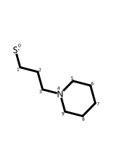 [S]CCCN1CCCCC1